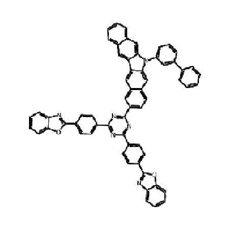 c1ccc(-c2cccc(-n3c4cc5ccccc5cc4c4cc5cc(-c6nc(-c7ccc(-c8nc9ccccc9o8)cc7)nc(-c7ccc(-c8nc9ccccc9o8)cc7)n6)ccc5cc43)c2)cc1